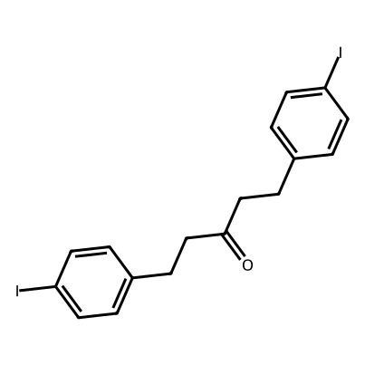 O=C(CCc1ccc(I)cc1)CCc1ccc(I)cc1